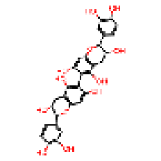 Oc1ccc(C2Oc3cc(O)c(-c4c(O)cc5c(c4O)CC(O)C(c4ccc(O)c(O)c4)O5)c(O)c3CC2O)cc1O